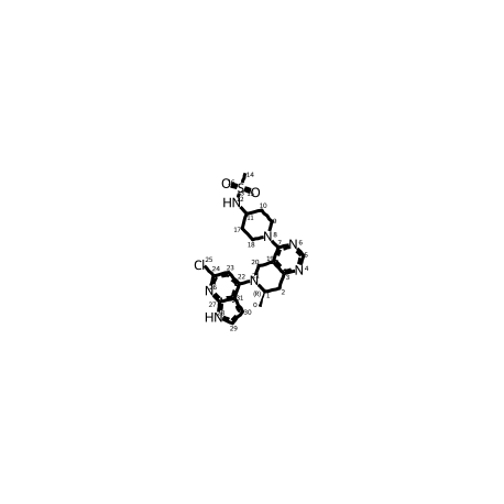 C[C@@H]1Cc2ncnc(N3CCC(NS(C)(=O)=O)CC3)c2CN1c1cc(Cl)nc2[nH]ccc12